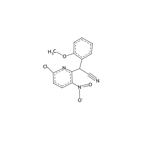 COc1ccccc1C(C#N)c1nc(Cl)ccc1[N+](=O)[O-]